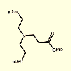 CCCCCCCCCCCCN(CCCCCCCCCCCC)CCC(=O)OC